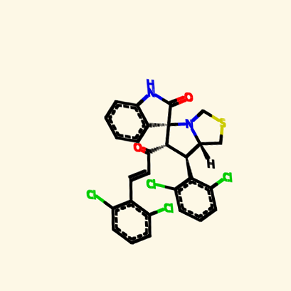 O=C(/C=C/c1c(Cl)cccc1Cl)[C@H]1[C@H](c2c(Cl)cccc2Cl)[C@H]2CSCN2[C@]12C(=O)Nc1ccccc12